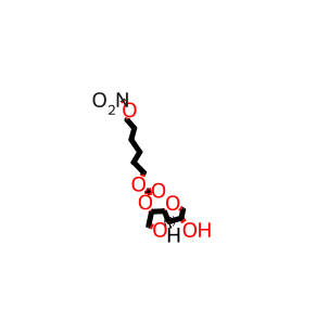 O=C(OCCCCCCO[N+](=O)[O-])OC1CO[C@@H]2C(O)COC12